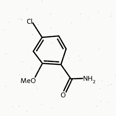 COc1cc(Cl)ccc1C(N)=O